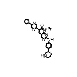 CC(C)n1c(=O)c(-c2cnc(C3=CCC=C3)cn2)cc2cnc(Nc3ccc(C4CNCCS4)cc3)nc21